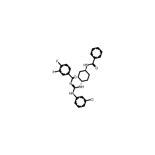 O=C(/N=C(/Nc1cccc(Cl)c1)N[C@H]1CC[C@H](NC(=O)c2ccccc2)CC1)c1ccc(F)c(F)c1